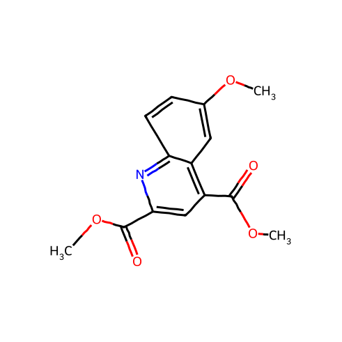 COC(=O)c1cc(C(=O)OC)c2cc(OC)ccc2n1